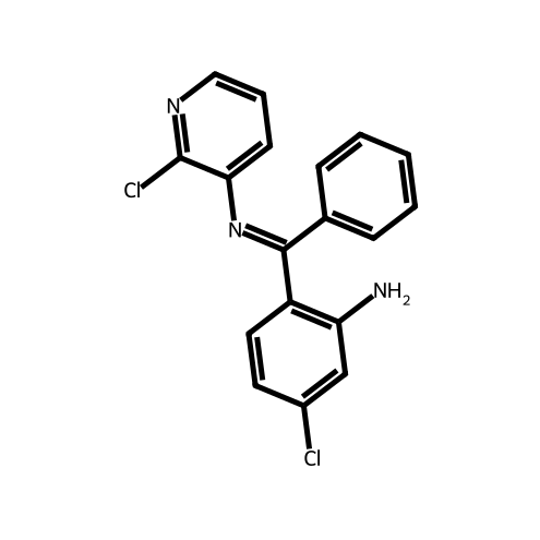 Nc1cc(Cl)ccc1C(=Nc1cccnc1Cl)c1ccccc1